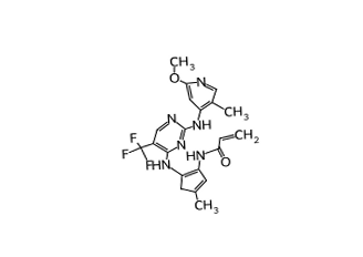 C=CC(=O)NC1=C(Nc2nc(Nc3cc(OC)ncc3C)ncc2C(F)(F)F)CC(C)=C1